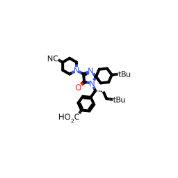 CC(C)(C)CC[C@H](c1ccc(C(=O)O)cc1)N1C(=O)C(N2CCC(C#N)CC2)=NC12CCC(C(C)(C)C)CC2